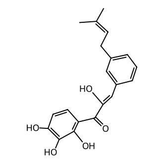 CC(C)=CCc1cccc(C=C(O)C(=O)c2ccc(O)c(O)c2O)c1